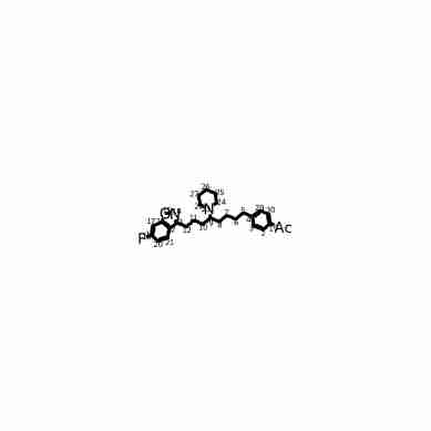 CC(=O)c1ccc(CCCCC(CCCc2noc3cc(F)ccc23)N2CCCCC2)cc1